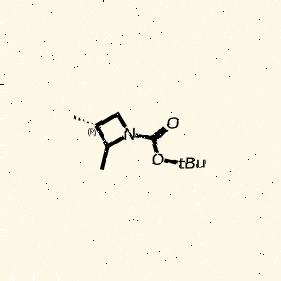 CC1[C@H](C)CN1C(=O)OC(C)(C)C